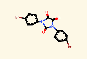 O=C1C(=O)N(c2ccc(Br)cc2)C(=O)N1c1ccc(Br)cc1